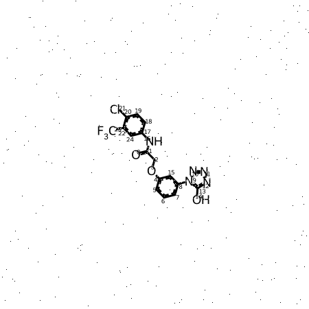 O=C(COc1cccc(-n2nnnc2O)c1)Nc1ccc(Cl)c(C(F)(F)F)c1